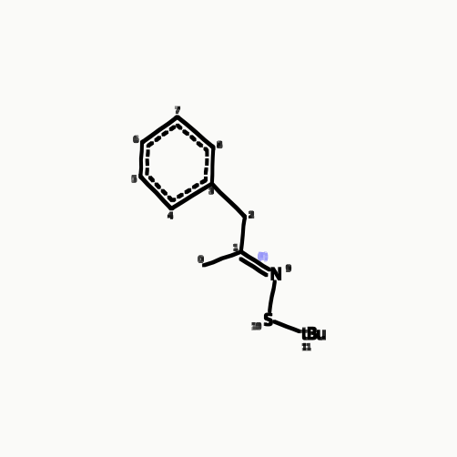 C/C(Cc1ccccc1)=N\SC(C)(C)C